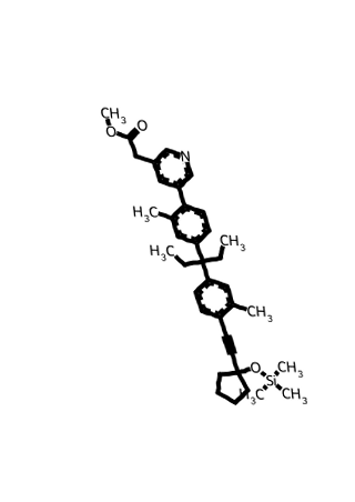 CCC(CC)(c1ccc(C#CC2(O[Si](C)(C)C)CCCC2)c(C)c1)c1ccc(-c2cncc(CC(=O)OC)c2)c(C)c1